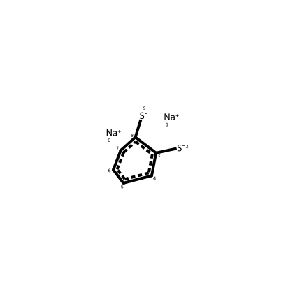 [Na+].[Na+].[S-]c1ccccc1[S-]